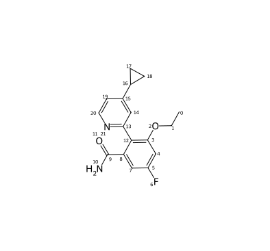 CCOc1cc(F)cc(C(N)=O)c1-c1cc(C2CC2)ccn1